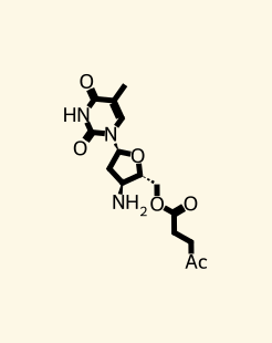 CC(=O)CCC(=O)OC[C@H]1O[C@@H](n2cc(C)c(=O)[nH]c2=O)C[C@@H]1N